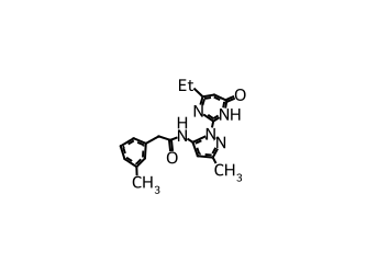 CCc1cc(=O)[nH]c(-n2nc(C)cc2NC(=O)Cc2cccc(C)c2)n1